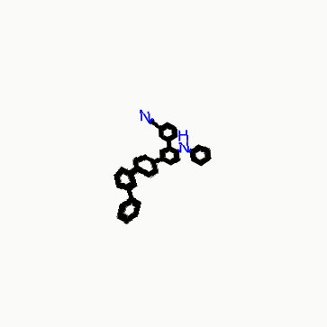 N#Cc1cccc(-c2cc(C3C=CC(c4cccc(-c5ccccc5)c4)=CC3)ccc2Nc2ccccc2)c1